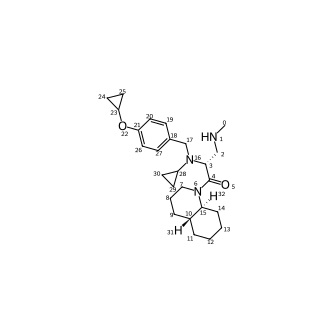 CNC[C@H](C(=O)N1CCC[C@H]2CCCC[C@@H]21)N(Cc1ccc(OC2CC2)cc1)C1CC1